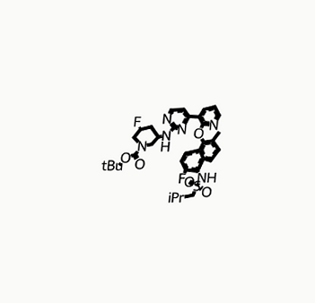 Cc1ccc2c(NS(=O)(=O)CC(C)C)c(F)ccc2c1Oc1ncccc1-c1ccnc(NC2C[C@H](F)CN(C(=O)OC(C)(C)C)C2)n1